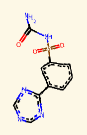 NC(=O)NS(=O)(=O)c1cccc(-c2ncncn2)c1